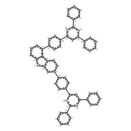 c1ccc(-c2cc(-c3ccc(-c4ccc5c(c4)sc4cccc(-c6ccc(-c7cc(-c8ccccc8)nc(-c8ccccc8)n7)cc6)c45)cc3)nc(-c3ccccc3)n2)cc1